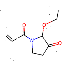 C=CC(=O)N1CCC(=O)C1OCC